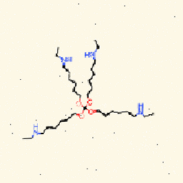 CCNCCCCCCOC(OCCCCCCNCC)(OCCCCCCNCC)OCCCCCCNCC